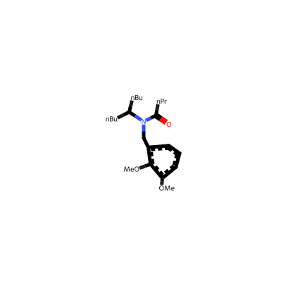 CCCCC(CCCC)N(Cc1cccc(OC)c1OC)C(=O)CCC